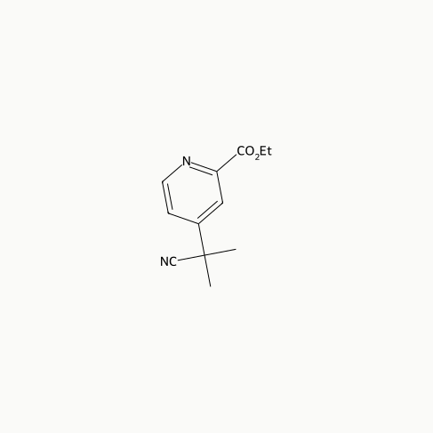 CCOC(=O)c1cc(C(C)(C)C#N)ccn1